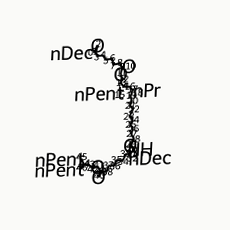 CCCCCCCCCCC(=O)CCCCCCC(=O)OCCC(CCCCC)CC(CCC)CCCCCCCCCCONC(CCCCCCCCCC)CCCCCCC(=O)OCCC(CCCCC)CCCCC